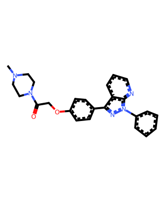 CN1CCN(C(=O)COc2ccc(-c3nn(-c4ccccc4)c4ncccc34)cc2)CC1